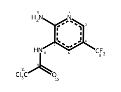 Nc1ncc(C(F)(F)F)cc1NC(=O)C(Cl)(Cl)Cl